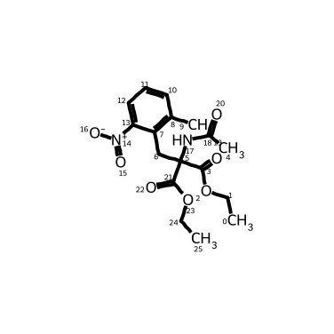 CCOC(=O)C(Cc1c(C)cccc1[N+](=O)[O-])(NC(C)=O)C(=O)OCC